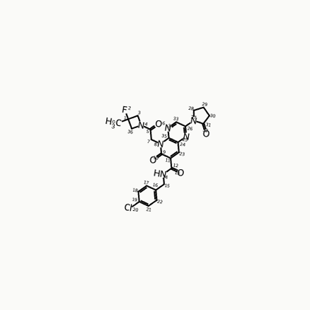 CC1(F)CN(C(=O)Cn2c(=O)c(C(=O)NCc3ccc(Cl)cc3)cc3nc(N4CCCC4=O)cnc32)C1